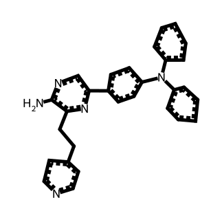 Nc1ncc(-c2ccc(N(c3ccccc3)c3ccccc3)cc2)nc1CCc1ccncc1